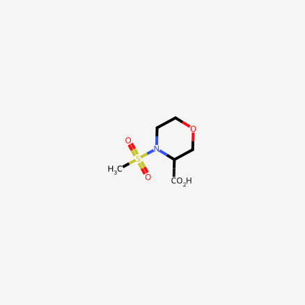 CS(=O)(=O)N1CCOCC1C(=O)O